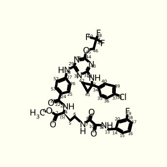 COC(=O)[C@H](CCNC(=O)C(=O)NCc1cccc(F)c1)NC(=O)c1ccc(Nc2nc(NC3(c4ccc(Cl)cc4)CC3)nc(OCC(F)(F)F)n2)cc1